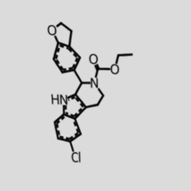 CCOC(=O)N1CCc2c([nH]c3ccc(Cl)cc23)C1c1ccc2c(c1)CCO2